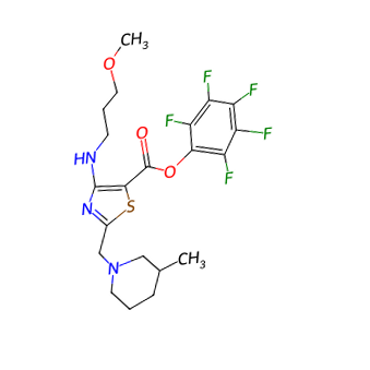 COCCCNc1nc(CN2CCCC(C)C2)sc1C(=O)Oc1c(F)c(F)c(F)c(F)c1F